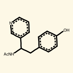 CC(=O)NC(Cc1ccc(O)cc1)c1cccnc1